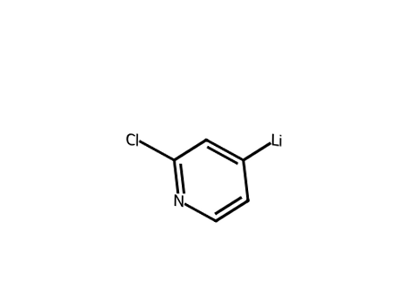 [Li][c]1ccnc(Cl)c1